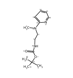 CN(CCNC(=O)OC(C)(C)C)c1ccccn1